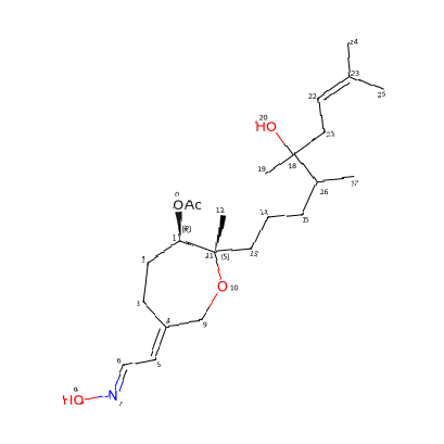 CC(=O)O[C@@H]1CCC(=CC=NO)CO[C@@]1(C)CCCC(C)C(C)(O)CC=C(C)C